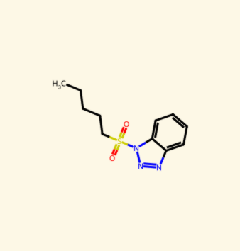 CCCCCS(=O)(=O)n1nnc2ccccc21